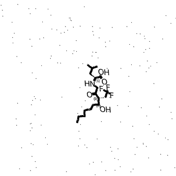 CCCCCC[C@@H](O)[C@@H](CC(F)(F)F)C(=O)CN[C@@H](CC(C)C)C(=O)O